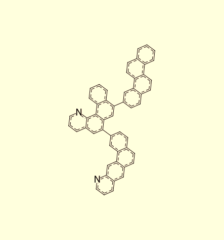 c1cnc2cc3c(ccc4ccc(-c5cc6cccnc6c6c5cc(-c5ccc7ccc8c9ccccc9ccc8c7c5)c5ccccc56)cc43)cc2c1